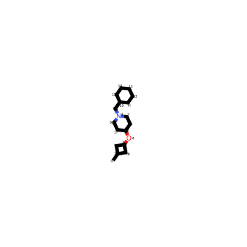 CC1CC(OC2CCN(CC3CCCCC3)CC2)C1